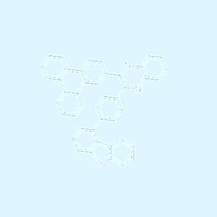 c1ccc2nc(-c3ccc4c5ccccc5c5ccccc5c4c3)c(-c3ccc(-c4cccc5oc6ccccc6c45)cc3)nc2c1